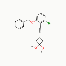 COC1(OC)CC(C#Cc2c(Br)cccc2OCc2ccccc2)C1